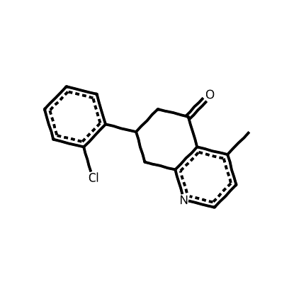 Cc1ccnc2c1C(=O)CC(c1ccccc1Cl)C2